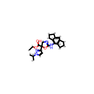 CCOC(O)C1(c2ccn(C(C)C)n2)CN=C(Nc2c3c(cc4c2CCC4)CCC3)O1